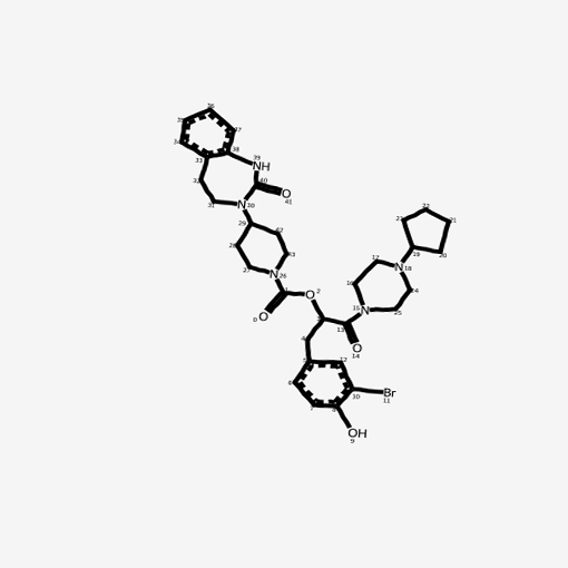 O=C(OC(Cc1ccc(O)c(Br)c1)C(=O)N1CCN(C2CCCC2)CC1)N1CCC(N2CCc3ccccc3NC2=O)CC1